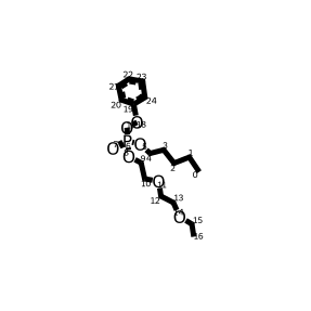 CCCCCOP(=O)(OCCOCCOCC)OOc1ccccc1